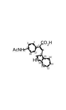 CC(=O)Nc1ccc(C(=Cc2c[nH]c3ncccc23)C(=O)O)cc1